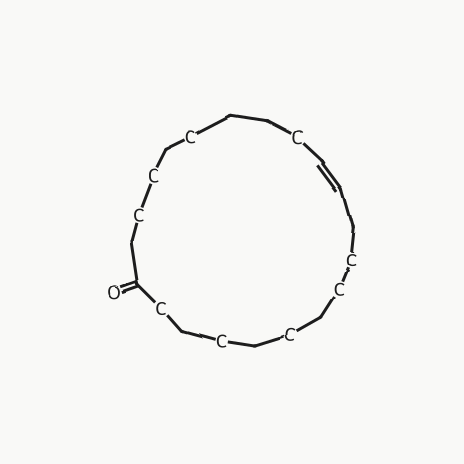 O=C1CCCCCCCCC=CCCCCCCCCC1